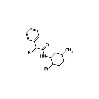 CC1CCC(C(C)C)C(NC(=O)C(Br)c2ccccc2)C1